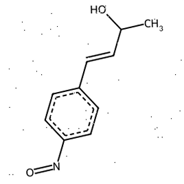 CC(O)/C=C/c1ccc(N=O)cc1